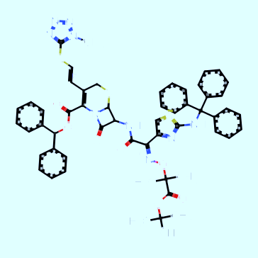 Cn1nnnc1S/C=C/C1=C(C(=O)OC(c2ccccc2)c2ccccc2)N2C(=O)C(NC(=O)/C(=N/OC(C)(C)C(=O)OC(C)(C)C)c3csc(NC(c4ccccc4)(c4ccccc4)c4ccccc4)n3)C2SC1